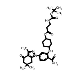 Cc1nn(-c2ccc(C(N)=O)c(NC3CCC(OC(=O)CCNC(=O)OC(C)(C)C)CC3)c2)c2c1C(=O)CC(C)(C)C2